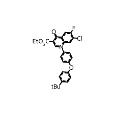 CCOC(=O)c1cn(-c2ccc(Oc3ccc(C(C)(C)C)cc3)cc2)c2cc(Cl)c(F)cc2c1=O